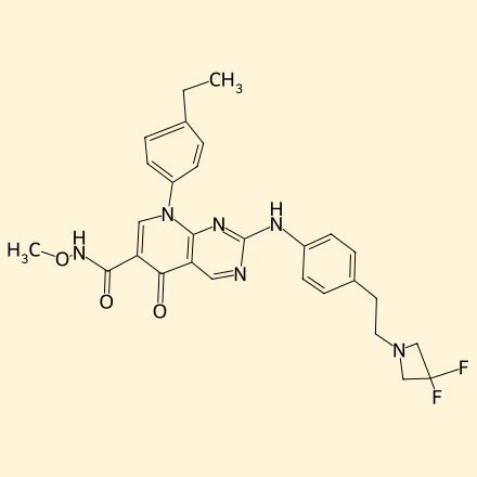 CCc1ccc(-n2cc(C(=O)NOC)c(=O)c3cnc(Nc4ccc(CCN5CC(F)(F)C5)cc4)nc32)cc1